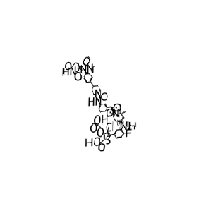 Cn1c(=O)n([C@@H]2CCC(=O)NC2=O)c2ccc(C3CCN(C(=O)Nc4cccc(CS(=O)(=O)N5CC[C@@H](Nc6cc(-c7sc(C(=O)O)c(OCC(=O)O)c7Cl)ccc6F)CC5(C)C)c4)CC3)cc21